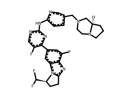 Fc1cnc(Nc2ccc(CN3CCN4CCC[C@@H]4C3)cn2)nc1-c1cc(F)c2nc3n(c2c1)[C@H](C(F)F)CC3